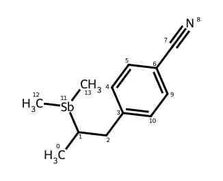 C[CH](Cc1ccc(C#N)cc1)[Sb]([CH3])[CH3]